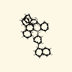 c1ccc(N(c2ccc(-c3cccc4ccccc34)cc2)c2cc3ccccc3c3ccccc23)c(-c2cc3ccccc3o2)c1